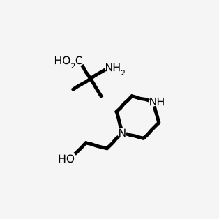 CC(C)(N)C(=O)O.OCCN1CCNCC1